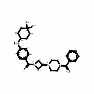 O=C(c1ccccc1)N1CCN(C2CN(C(=O)c3ccc(NC4CCC(F)(F)CC4)cc3)C2)CC1